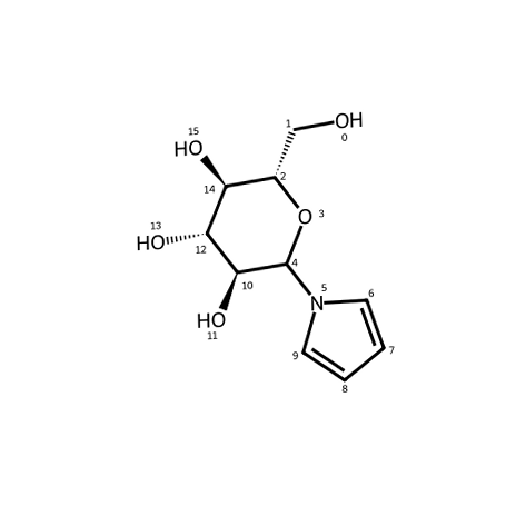 OC[C@@H]1OC(n2cccc2)[C@@H](O)[C@H](O)[C@H]1O